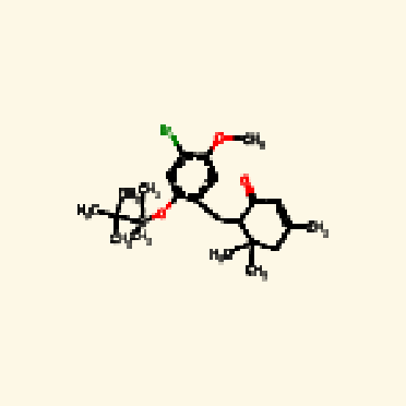 COc1cc(CC2C(=O)C=C(C)CC2(C)C)c(O[Si](C)(C)C(C)(C)C)cc1Br